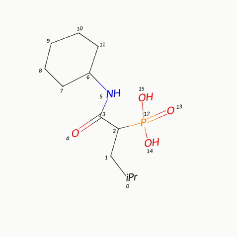 CC(C)CC(C(=O)NC1CCCCC1)P(=O)(O)O